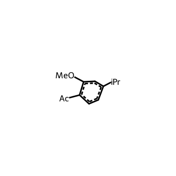 COc1cc(C(C)C)ccc1C(C)=O